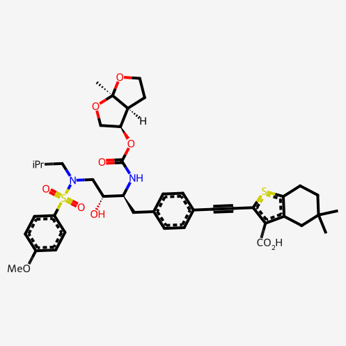 COc1ccc(S(=O)(=O)N(CC(C)C)C[C@@H](O)[C@H](Cc2ccc(C#Cc3sc4c(c3C(=O)O)CC(C)(C)CC4)cc2)NC(=O)O[C@H]2CO[C@@]3(C)OCC[C@@H]23)cc1